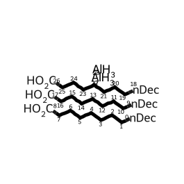 CCCCCCCCCCCCCCCCCC(=O)O.CCCCCCCCCCCCCCCCCC(=O)O.CCCCCCCCCCCCCCCCCC(=O)O.[AlH3].[AlH3]